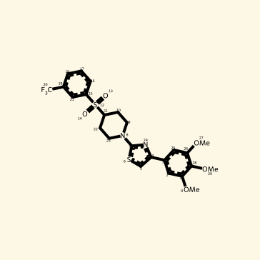 COc1cc(-c2csc(N3CCC(S(=O)(=O)c4cccc(C(F)(F)F)c4)CC3)n2)cc(OC)c1OC